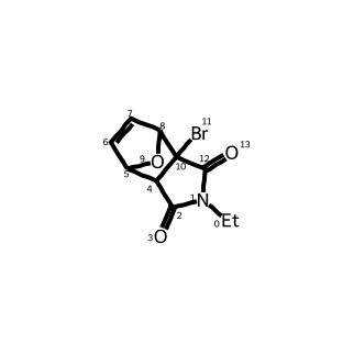 CCN1C(=O)C2C3C=CC(O3)C2(Br)C1=O